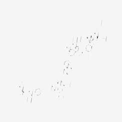 CCN(C)S(=O)(=O)Nc1ccc(F)c(C(=O)c2c[nH]c3ncc(-c4ccc(N5CCC(NC(=O)C(OC=O)N6CCC(c7ccc(NC8CCC(=O)NC8=O)cc7)CC6)CC5)nc4)cc23)c1F